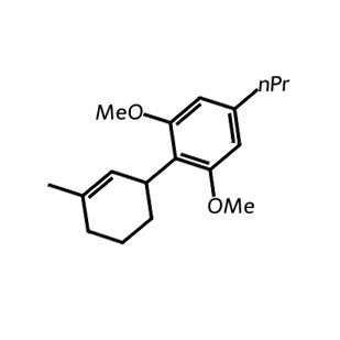 CCCc1cc(OC)c(C2C=C(C)CCC2)c(OC)c1